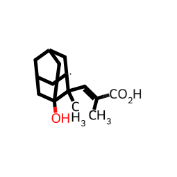 CC(=CC1(C)[C]2CC3CC(C2)CC1(O)C3)C(=O)O